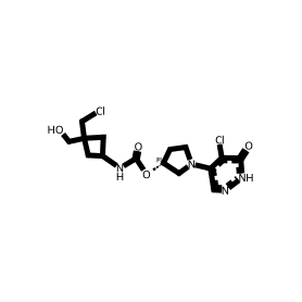 O=C(NC1CC(CO)(CCl)C1)O[C@@H]1CCN(c2cn[nH]c(=O)c2Cl)C1